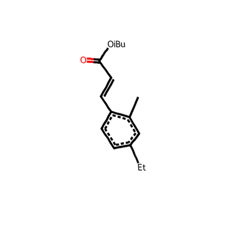 CCc1ccc(C=CC(=O)OCC(C)C)c(C)c1